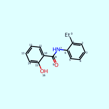 CCc1ccccc1NC(=O)c1ccccc1O